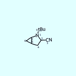 CC(C)(C)N1C(C#N)CC2CC21